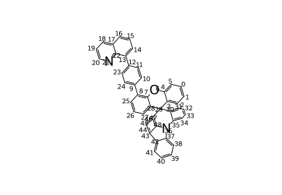 c1ccc2c(c1)Oc1c(-c3ccc(-c4cccc5cccnc45)cc3)cccc1C21c2ccccc2-n2c3ccccc3c3cccc1c32